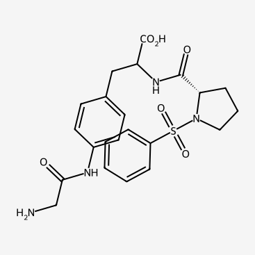 NCC(=O)Nc1ccc(CC(NC(=O)[C@@H]2CCCN2S(=O)(=O)c2ccccc2)C(=O)O)cc1